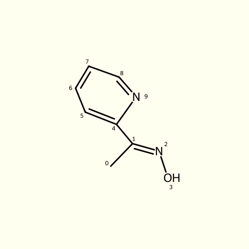 CC(=NO)c1ccccn1